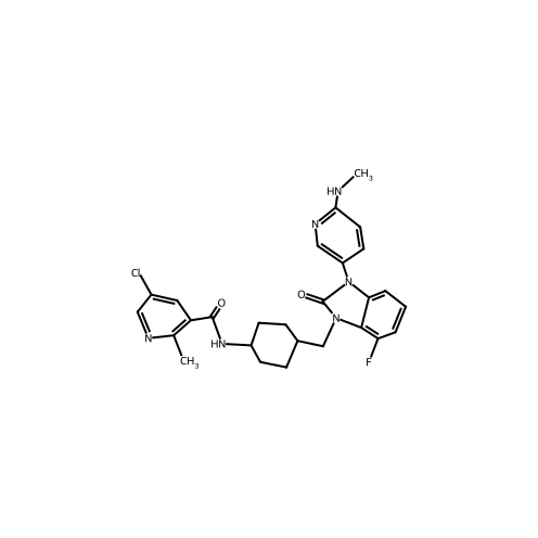 CNc1ccc(-n2c(=O)n(CC3CCC(NC(=O)c4cc(Cl)cnc4C)CC3)c3c(F)cccc32)cn1